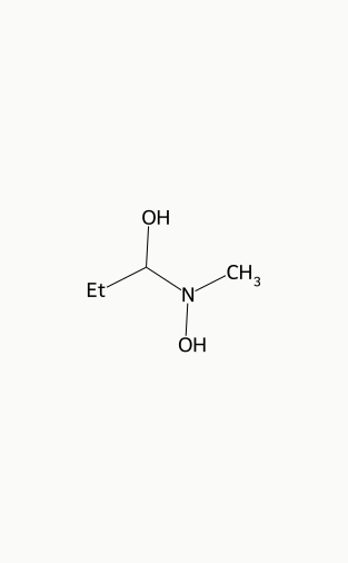 CCC(O)N(C)O